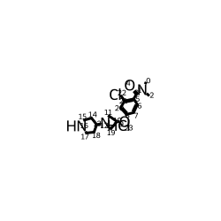 CN(C)C(=O)c1ccc(OC2CN(C3CCNCC3)C2)cc1Cl.Cl